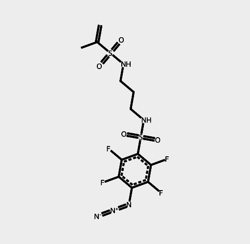 C=C(C)S(=O)(=O)NCCCNS(=O)(=O)c1c(F)c(F)c(N=[N+]=[N-])c(F)c1F